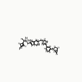 CC(NCc1cc2cnc(Cn3cnc(-c4cncc(N5CCC6CC65)c4)n3)cc2[nH]1)C12CC(F)(C1)C2